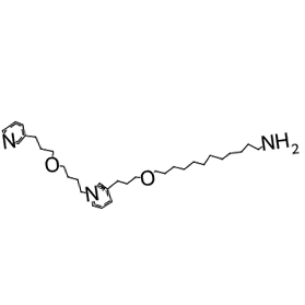 NCCCCCCCCCCCCOCCCc1ccc[n+](CCCCOCCCc2cccnc2)c1